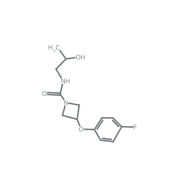 CC(O)CNC(=O)N1CC(Oc2ccc(F)cc2)C1